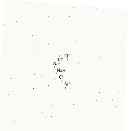 [Cl-].[Cl-].[Cl-].[Na+].[NaH].[Ni+2]